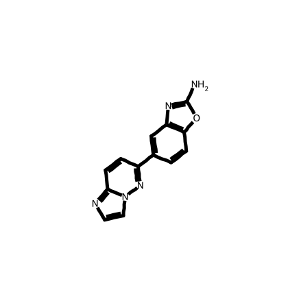 Nc1nc2cc(-c3ccc4nccn4n3)ccc2o1